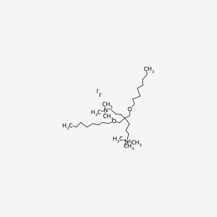 CCCCCCCCOCC(CCC[N+](C)(C)C)(CCC[N+](C)(C)C)COCCCCCCCC.[I-].[I-]